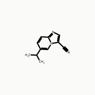 CC(C)c1ccc2ncc(C#N)n2c1